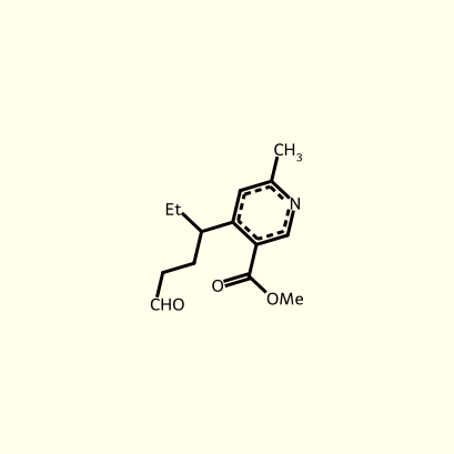 CCC(CCC=O)c1cc(C)ncc1C(=O)OC